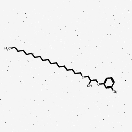 CCCCCCCCCCCCCCCCCCOCC(O)COc1cccc(O)c1